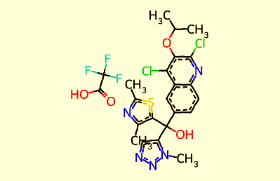 Cc1nc(C)c(C(O)(c2ccc3nc(Cl)c(OC(C)C)c(Cl)c3c2)c2cnnn2C)s1.O=C(O)C(F)(F)F